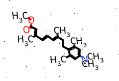 COC(=O)C=C(C)C=CC=C(C)CCc1c(C)cc(N(C)C)cc1C